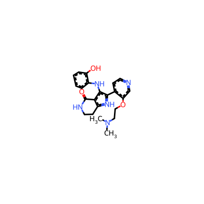 CN(C)CCOc1cnccc1-c1[nH]c2c(c1Nc1ccccc1O)C(=O)NCC2